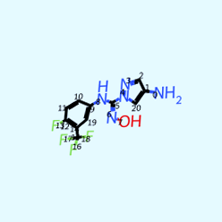 Nc1cnn(C(=NO)Nc2ccc(F)c(C(F)(F)F)c2)c1